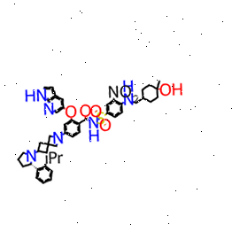 CC(C)c1ccccc1[C@@H]1CCCN1C1CC2(C1)CN(c1ccc(C(=O)NS(=O)(=O)c3ccc(NCC4CCC(C)(O)CC4)c([N+](=O)[O-])c3)c(Oc3cnc4[nH]ccc4c3)c1)C2